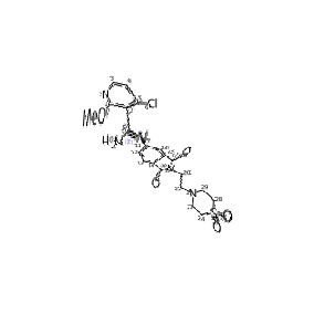 COc1nccc(Cl)c1/C(N)=N/c1ccc2c(c1)C(=O)N(CCN1CCS(=O)(=O)CC1)C2=O